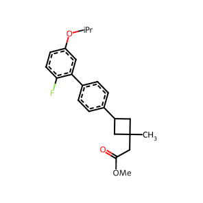 COC(=O)CC1(C)CC(c2ccc(-c3cc(OC(C)C)ccc3F)cc2)C1